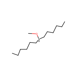 CCCCCC[SiH](CCCCCC)OC